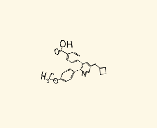 COc1ccc(-c2ncc(CC3CCC3)cc2-c2ccc(C(=O)O)cc2)cc1